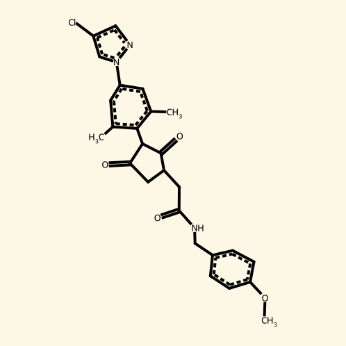 COc1ccc(CNC(=O)CC2CC(=O)C(c3c(C)cc(-n4cc(Cl)cn4)cc3C)C2=O)cc1